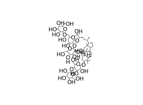 C[C@H](CC[C@@H](O[C@@H]1OC(CO[C@@H]2OC(CO)[C@@H](O)[C@H](O)C2O)[C@@H](O)[C@H](O)C1O[C@@H]1OC(CO)[C@@H](O)[C@H](O)C1O)C(C)(C)O)[C@H]1CC[C@@]2(C)[C@@H]3CC=C4[C@@H](CC[C@H](O[C@@H]5OC(CO)[C@@H](O[C@@H]6OC(CO)[C@@H](O)[C@H](O)C6O)[C@H](O)C5O)C4(C)C)[C@]3(C)[C@H](O)C[C@]12C